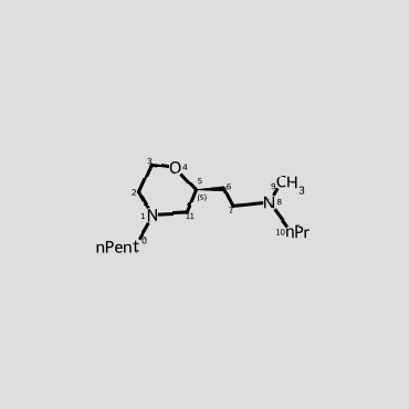 CCCCCN1CCO[C@@H](CCN(C)CCC)C1